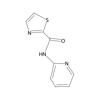 O=C(Nc1ccccn1)c1nccs1